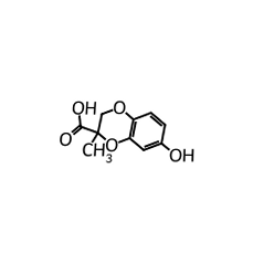 CC1(C(=O)O)COc2ccc(O)cc2O1